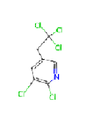 Clc1cc(CC(Cl)(Cl)Cl)cnc1Cl